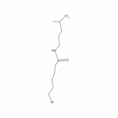 CC(CCCNC(=O)CCCCCBr)C(F)(F)F